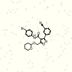 N#Cc1cccc(-c2noc(COC3CCCCO3)c2C(=O)Nc2ccc(Br)cc2)c1